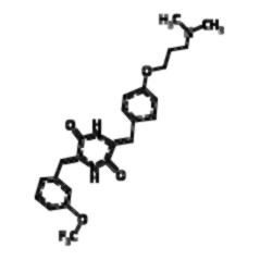 CN(C)CCCOc1ccc(C=c2[nH]c(=O)c(=Cc3cccc(OC(F)(F)F)c3)[nH]c2=O)cc1